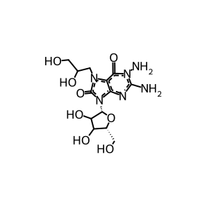 Nc1nc2c(c(=O)n1N)n(CC(O)CO)c(=O)n2[C@@H]1O[C@H](CO)C(O)C1O